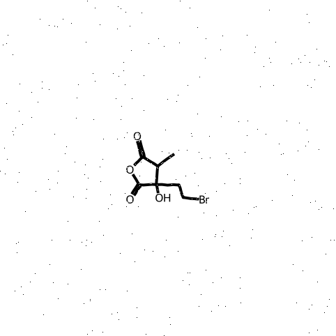 CC1C(=O)OC(=O)C1(O)CCBr